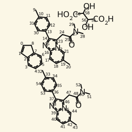 C1=Cc2ccccc2C1.Cc1ccc(-c2nc3ccc(C)cn3c2CC(=O)N(C)C)cc1.Cc1ccc(-c2nc3ccc(C)cn3c2CC(=O)N(C)C)cc1.O=C(O)C(O)C(O)C(=O)O